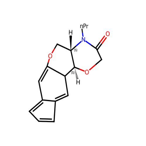 CCCN1C(=O)CO[C@H]2C3C=C4C=CC=C4C=C3OC[C@@H]21